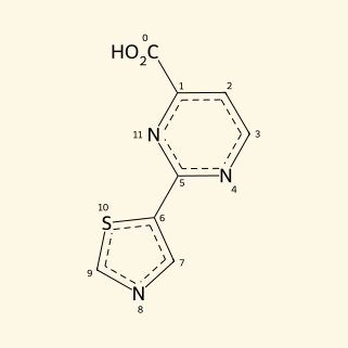 O=C(O)c1ccnc(-c2cncs2)n1